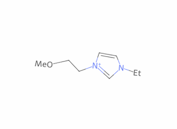 CCn1cc[n+](CCOC)c1